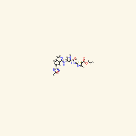 CCCOC(=O)c1sc(NC(=O)[C@@H]2C[C@H](Nc3nccc4ccc(-c5noc(C)n5)cc34)CN2C)nc1C